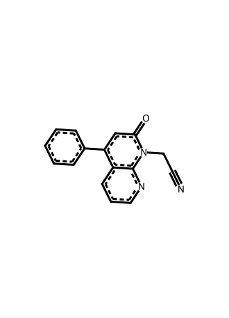 N#CCn1c(=O)cc(-c2ccccc2)c2cccnc21